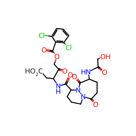 O=C(O)CC(NC(=O)C1CCCN2C(=O)CCC(NC(=O)CO)C(=O)N12)C(=O)COC(=O)c1c(Cl)cccc1Cl